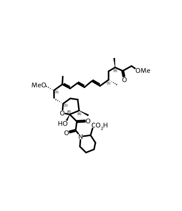 COCC(=O)[C@H](C)C[C@H](C)C=CC=CC=C(C)[C@H](C[C@@H]1CC[C@@H](C)[C@](O)(C(=O)C(=O)N2CCCCC2C(=O)O)O1)OC